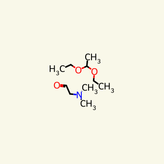 CCOC(C)OCC.CN(C)CC=O